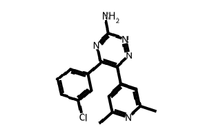 Cc1cc(-c2nnc(N)nc2-c2cccc(Cl)c2)cc(C)n1